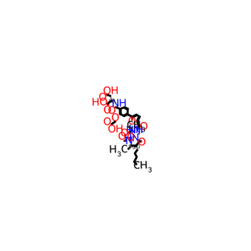 CCCCC[C@@H](C(=O)NCNC(=O)c1ccc(-c2ccc(C(=O)N[C@@H](CC(=O)O)C(=O)O)c(OCC(=O)O)c2)o1)[C@@H](CC)N(C=O)OC(=O)NC